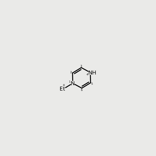 [CH2]CN1C=CNC=C1